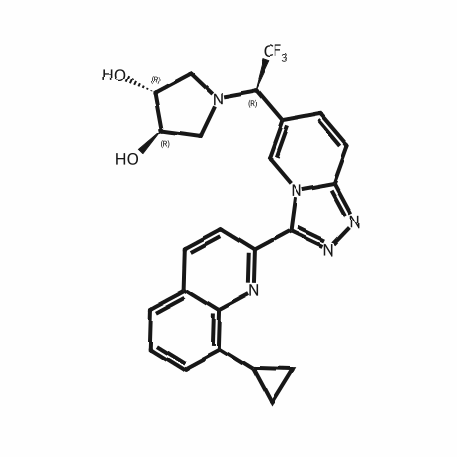 O[C@@H]1CN([C@H](c2ccc3nnc(-c4ccc5cccc(C6CC6)c5n4)n3c2)C(F)(F)F)C[C@H]1O